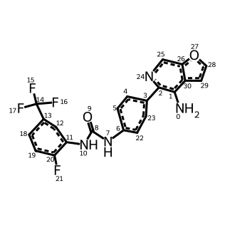 Nc1c(-c2ccc(NC(=O)Nc3cc(C(F)(F)F)ccc3F)cc2)ncc2occc12